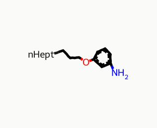 CCCCCCCCCCOc1cccc(N)c1